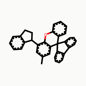 Cc1cc(C2CCc3ccccc32)c2c(c1)C1(c3ccccc3O2)c2ccccc2-c2ccccc21